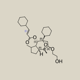 CC1CC[C@@H]2C1[C@H](OC(=O)/C=C/C1CCCCC1)[C@]1(C3CCCCC3)C[C@@H](OCCO)[C@@]2(C)O1